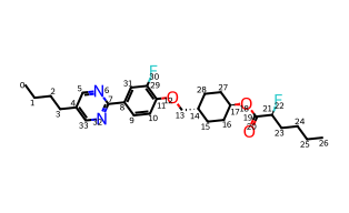 CCCCc1cnc(-c2ccc(OC[C@H]3CC[C@H](OC(=O)[C@@H](F)CCCC)CC3)c(F)c2)nc1